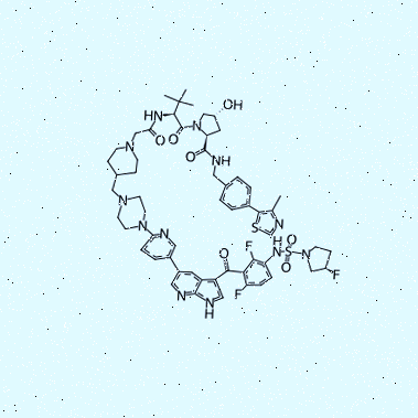 Cc1ncsc1-c1ccc(CNC(=O)[C@@H]2C[C@@H](O)CN2C(=O)[C@@H](NC(=O)CN2CCC(CN3CCN(c4ccc(-c5cnc6[nH]cc(C(=O)c7c(F)ccc(NS(=O)(=O)N8CC[C@@H](F)C8)c7F)c6c5)cn4)CC3)CC2)C(C)(C)C)cc1